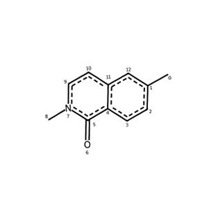 Cc1ccc2c(=O)n(C)ccc2c1